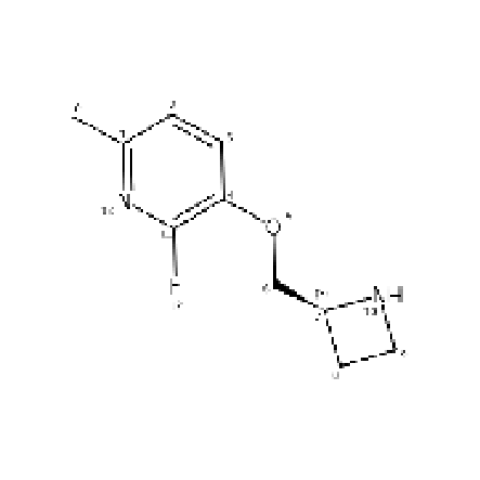 Cc1ccc(OC[C@@H]2CCN2)c(F)n1